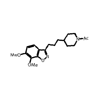 COc1ccc2c(CCCC3CCN(C(C)=O)CC3)noc2c1OC